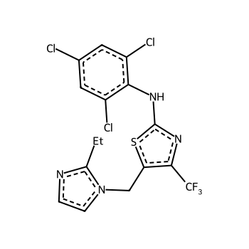 CCc1nccn1Cc1sc(Nc2c(Cl)cc(Cl)cc2Cl)nc1C(F)(F)F